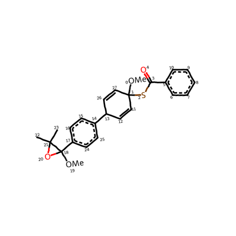 COC1(SC(=O)c2ccccc2)C=CC(c2ccc(C3(OC)OC3(C)C)cc2)C=C1